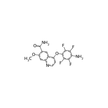 COc1cc2nccc(Oc3c(F)c(F)c(N)c(F)c3F)c2cc1C(N)=O